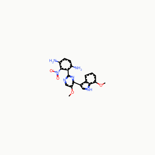 COc1cnc(-c2c(N)ccc(N)c2[N+](=O)[O-])nc1-c1c[nH]c2c(OC)cccc12